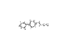 O=C/C=C/c1ccc(-c2ccncc2)cc1